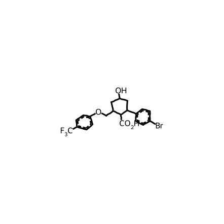 O=C(O)C1C(COc2ccc(C(F)(F)F)cc2)CC(O)CC1c1ccc(Br)cc1